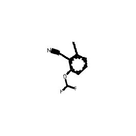 Cc1cccc(OC(F)F)c1C#N